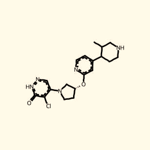 CC1CNCCC1c1ccnc(O[C@@H]2CCN(c3cn[nH]c(=O)c3Cl)C2)c1